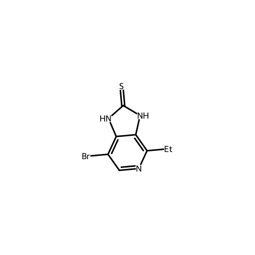 CCc1ncc(Br)c2[nH]c(=S)[nH]c12